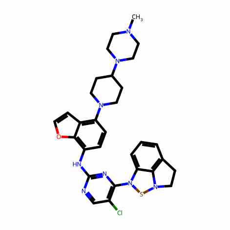 CN1CCN(C2CCN(c3ccc(Nc4ncc(Cl)c(N5SN6CCc7cccc5c76)n4)c4occc34)CC2)CC1